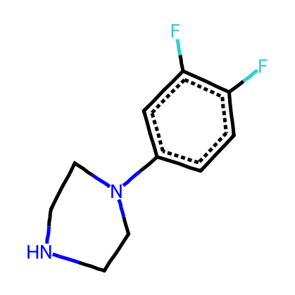 Fc1ccc(N2CCNCC2)cc1F